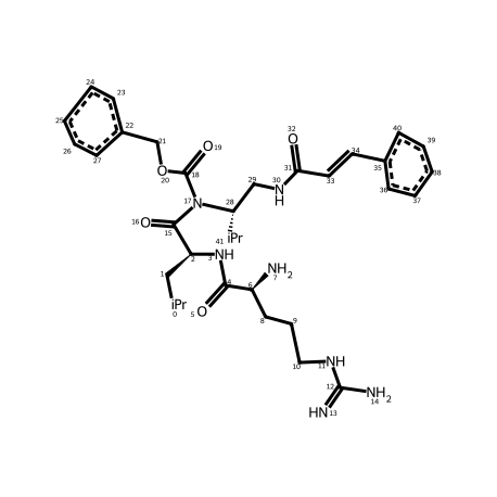 CC(C)C[C@H](NC(=O)[C@@H](N)CCCNC(=N)N)C(=O)N(C(=O)OCc1ccccc1)[C@H](CNC(=O)/C=C/c1ccccc1)C(C)C